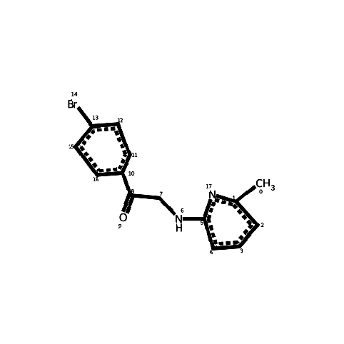 Cc1cccc(NCC(=O)c2ccc(Br)cc2)n1